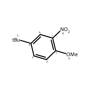 COc1[c]cc(C(C)(C)C)cc1[N+](=O)[O-]